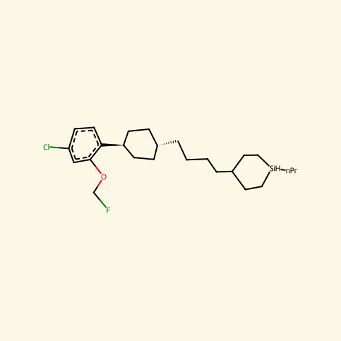 CCC[SiH]1CCC(CCCC[C@H]2CC[C@H](c3ccc(Cl)cc3OCF)CC2)CC1